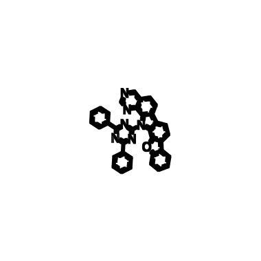 c1ccc(-c2nc(-c3ccccc3)nc(-n3c4c(ccc5cncnc54)c4ccc5c6ccccc6oc5c43)n2)cc1